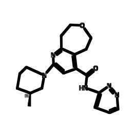 C[C@H]1CCCN(c2cc(C(=O)Nc3cccnn3)c3c(n2)CCOCC3)C1